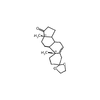 C[C@]12CCC3(CC1=CCC1C2CC[C@]2(C)C(=O)CCC12)OCCO3